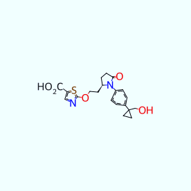 O=C(O)c1cnc(OCC[C@H]2CCC(=O)N2c2ccc(C3(CO)CC3)cc2)s1